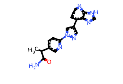 CC(C(N)=O)c1ccc(-n2cc(-c3ccnc4[nH]cnc34)cn2)nc1